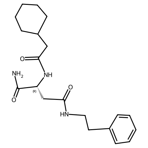 NC(=O)[C@@H](CC(=O)NCCc1ccccc1)NC(=O)CC1CCCCC1